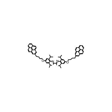 CC(=Nc1c(C(C)C)cc(OCCCCc2cc3ccc4cccc5ccc(c2)c3c45)cc1C(C)C)C(C)=Nc1c(C(C)C)cc(OCCCCc2cc3ccc4cccc5ccc(c2)c3c45)cc1C(C)C